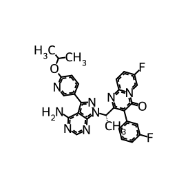 CC(C)Oc1ccc(-c2nn([C@@H](C)c3nc4ccc(F)cn4c(=O)c3-c3cccc(F)c3)c3ncnc(N)c23)cn1